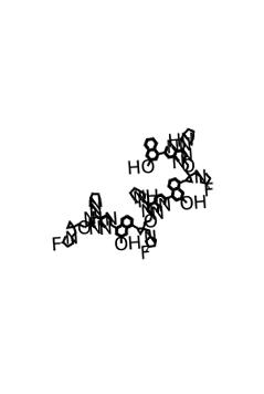 Oc1cc(-c2cnc3c(N4CC5CCC(C4)N5)nc(OCC4(CN5CC[C@@H](F)C5)CC4c4cccc5c(-c6ccc7c(N8CC9CCC(C8)N9)nc(OCC8(CN9CC[C@@H](F)C9)CC8c8cccc9c(-c%10ncc%11c(N%12CC%13CCC(C%12)N%13)nc(OCC%12(CN%13CC[C@@H](F)C%13)CC%12)nc%11n%10)cc(O)cc89)nc7n6)cc(O)cc45)nc3c2)c2ccccc2c1